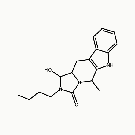 CCCCN1C(=O)N2C(C)c3[nH]c4ccccc4c3CC2C1O